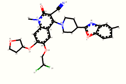 Cc1ccc2oc(C3CCN(c4c(C#N)c(=O)n(C)c5cc(OC6CCOC6)c(OCC(F)F)cc45)CC3)nc2c1